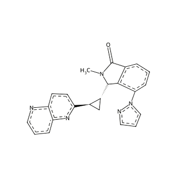 CN1C(=O)c2cccc(-n3cccn3)c2C1[C@@H]1C[C@H]1c1ccc2ncccc2n1